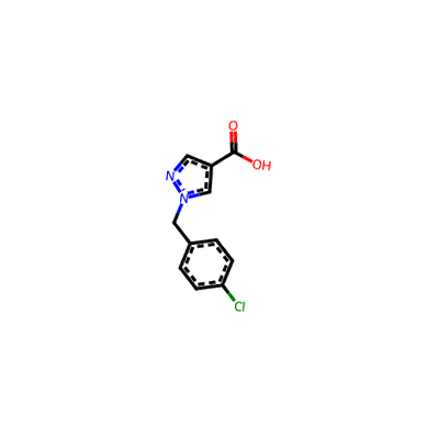 O=C(O)c1cnn(Cc2ccc(Cl)cc2)c1